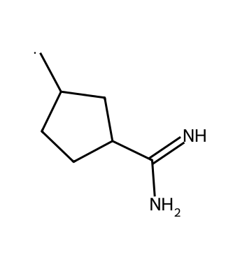 [CH2]C1CCC(C(=N)N)C1